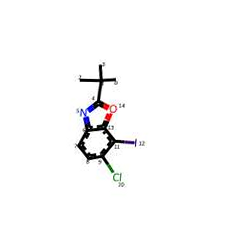 CC(C)(C)c1nc2ccc(Cl)c(I)c2o1